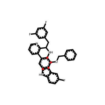 O=C(Cc1c[nH]c2ccc(F)cc12)NC(Cc1cc(F)cc(F)c1)c1ncccc1-c1cccc(OCc2ccccc2)c1